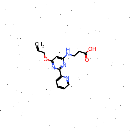 C=CCOc1cc(NCCC(=O)O)nc(-c2ccccn2)n1